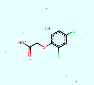 O=C(O)COc1ccc(Cl)cc1Cl.[LiH]